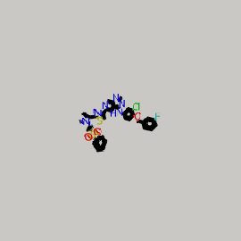 CC(c1nc(-c2cc3c(Nc4ccc(OCc5cccc(F)c5)c(Cl)c4)ncnc3cn2)cs1)N(C)CCS(=O)(=O)c1ccccc1